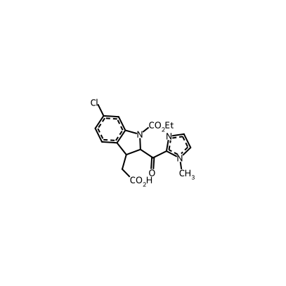 CCOC(=O)N1c2cc(Cl)ccc2C(CC(=O)O)C1C(=O)c1nccn1C